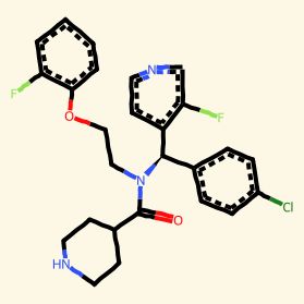 O=C(C1CCNCC1)N(CCOc1ccccc1F)[C@H](c1ccc(Cl)cc1)c1ccncc1F